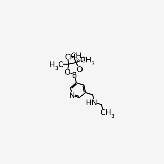 CCNCc1cncc(B2OC(C)(C)C(C)(C)O2)c1